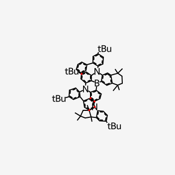 CC1(C)CC2(C)c3cc(C(C)(C)C)ccc3N(c3ccc4c(c3)N(c3ccc(C(C)(C)C)cc3-c3ccccc3)c3cc(C(C)(C)C)cc5c3B4c3cc4c(cc3N5c3ccc(C(C)(C)C)cc3-c3ccccc3)C(C)(C)CCC4(C)C)C2(C)C1